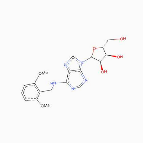 COc1cccc(OC)c1CNc1ncnc2c1ncn2C1O[C@H](CO)[C@@H](O)[C@H]1O